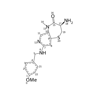 COc1ccc(CNc2cc3c(cn2)N(C)C(=O)[C@@H](N)CS3)cc1